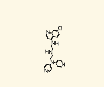 Clc1ccc2c(NCCNCCN(c3ccncc3)c3ccncc3)ccnc2c1